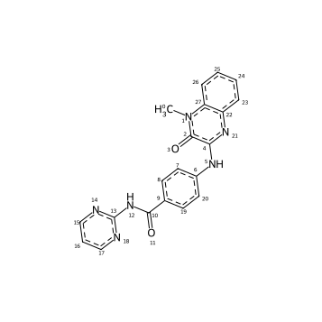 Cn1c(=O)c(Nc2ccc(C(=O)Nc3ncccn3)cc2)nc2ccccc21